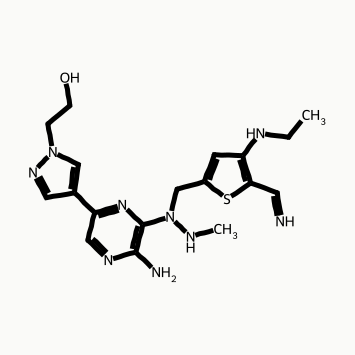 CCNc1cc(CN(NC)c2nc(-c3cnn(CCO)c3)cnc2N)sc1C=N